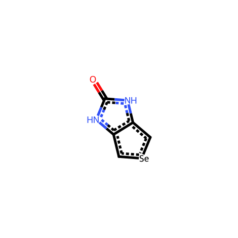 O=c1[nH]c2c[se]cc2[nH]1